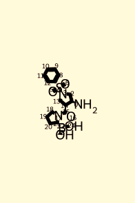 N[C@@H]1CN(S(=O)(=O)c2ccccc2)C[C@@H]1C(=O)N1CCC[C@H]1B(O)O